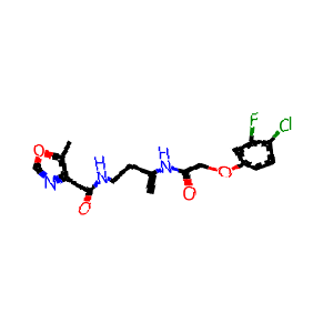 C=C(CCNC(=O)c1ncoc1C)NC(=O)COc1ccc(Cl)c(F)c1